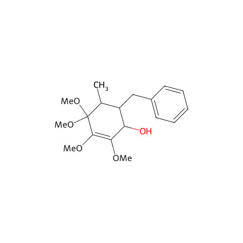 COC1=C(OC)C(OC)(OC)C(C)C(Cc2ccccc2)C1O